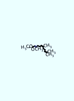 CCOC(=O)/C=C(\C)CCC=C(C)CCC=C(C)C